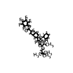 C[C@H](NP(=O)(Oc1ccccc1)[C@@H](F)c1ccc2sc(C(=O)Oc3c(F)c(F)c(F)c(F)c3F)cc2c1)C(=O)OCC(C)(C)C